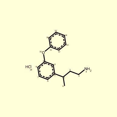 CC(CCN)c1cccc(Oc2ccccc2)c1.Cl